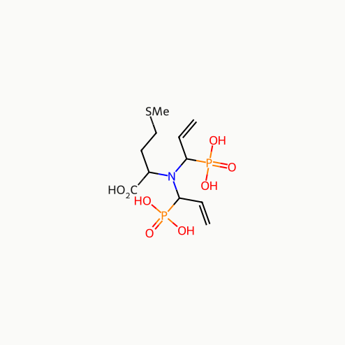 C=CC(N(C(CCSC)C(=O)O)C(C=C)P(=O)(O)O)P(=O)(O)O